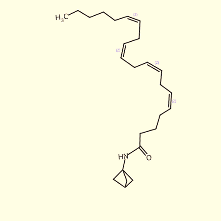 CCCCC/C=C\C/C=C\C/C=C\C/C=C\CCCC(=O)NC12CC(C1)C2